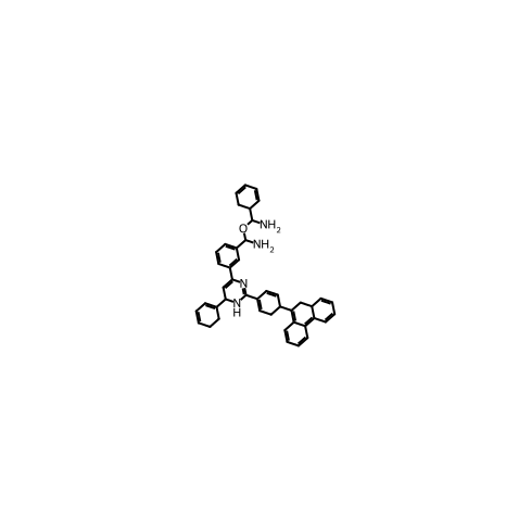 NC(OC(N)C1C=CC=CC1)c1cccc(C2=CC(C3=CC=CCC3)NC(C3=CCC(C4=c5ccccc5=C5C=CC=CC5C4)C=C3)=N2)c1